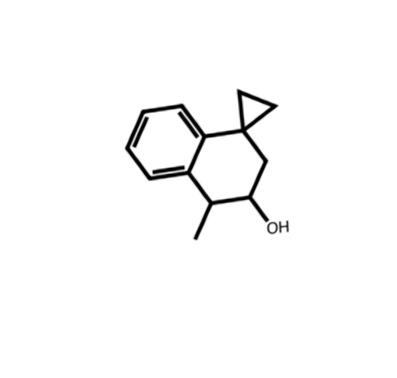 CC1c2ccccc2C2(CC2)CC1O